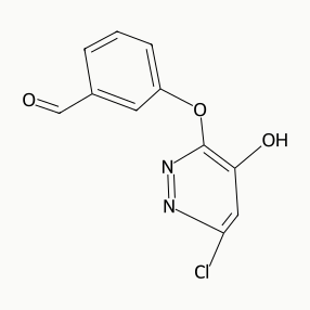 O=Cc1cccc(Oc2nnc(Cl)cc2O)c1